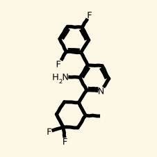 CC1CC(F)(F)CCC1c1nccc(-c2cc(F)ccc2F)c1N